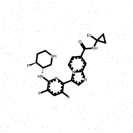 CCC1(NC(=O)c2ccn3c(-c4nc(N[C@H]5CNCC[C@@H]5F)c(F)cc4F)cnc3c2)CC1